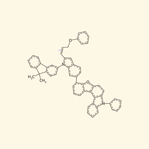 CC1(C)c2ccccc2-c2cc(-n3c(/C=C\COc4ccccc4)cc4ccc(-c5cccc6c5oc5ccc7c(c8ccccc8n7-c7ccccc7)c56)cc43)ccc21